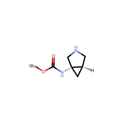 CC(C)(C)OC(=O)N[C@]12CNC[C@H]1C2